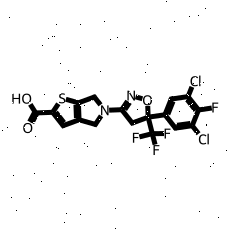 O=C(O)c1cc2c(s1)CN(C1=NOC(c3cc(Cl)c(F)c(Cl)c3)(C(F)(F)F)C1)C2